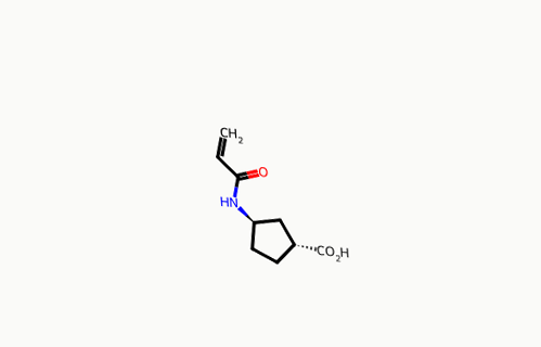 C=CC(=O)N[C@@H]1CC[C@@H](C(=O)O)C1